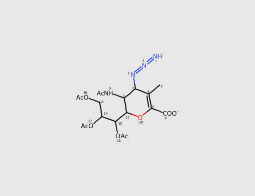 CC(=O)NC1C(N=[N+]=N)C(C)=C(C(=O)[O-])OC1C(OC(C)=O)C(COC(C)=O)OC(C)=O